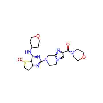 O=C(c1cn2c(n1)CN(C1=NC3CC[S+]([O-])C3C(NC3CCOCC3)=N1)CC2)N1CCOCC1